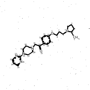 CC1CCCN1CCCOc1ccc(C(=O)CN2CCN(c3ncccn3)CC2)cc1